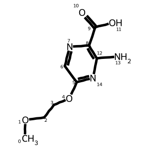 COCCOc1cnc(C(=O)O)c(N)n1